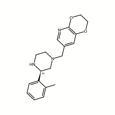 Cc1ccccc1[C@@H]1CN(Cc2cnc3c(c2)OCCO3)CCN1